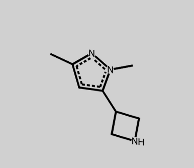 Cc1cc(C2CNC2)n(C)n1